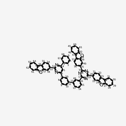 c1ccc(-c2cc(-c3cccc(-c4cccc(-c5nc(-c6ccc7c(c6)oc6ccccc67)nc(-c6ccc7c(c6)oc6ccccc67)n5)c4)c3)nc(-c3ccc4c(c3)oc3ccccc34)n2)cc1